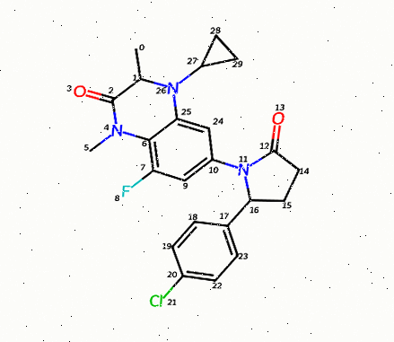 CC1C(=O)N(C)c2c(F)cc(N3C(=O)CCC3c3ccc(Cl)cc3)cc2N1C1CC1